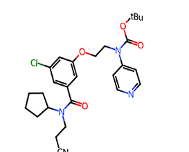 CC(C)(C)OC(=O)N(CCOc1cc(Cl)cc(C(=O)N(CCC#N)C2CCCC2)c1)c1ccncc1